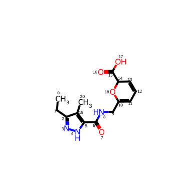 CCc1n[nH]c(C(=O)NCC2=CC=CC(C(=O)O)O2)c1C